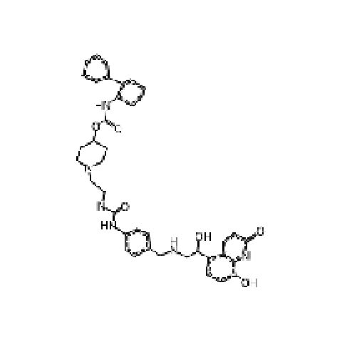 O=C(NCCN1CCC(OC(=O)Nc2ccccc2-c2ccccc2)CC1)Nc1ccc(CNCC(O)c2ccc(O)c3[nH]c(=O)ccc23)cc1